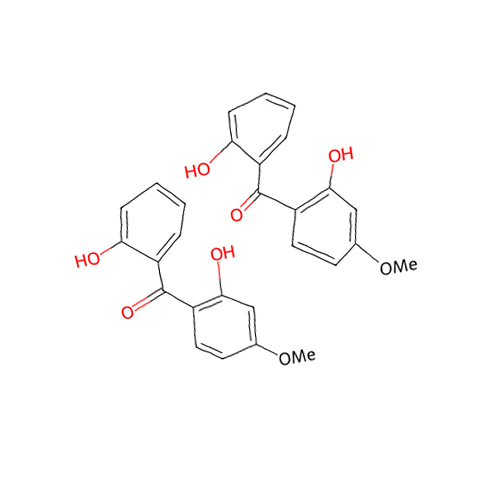 COc1ccc(C(=O)c2ccccc2O)c(O)c1.COc1ccc(C(=O)c2ccccc2O)c(O)c1